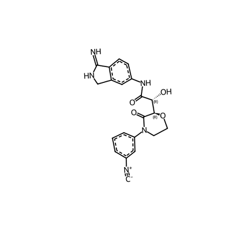 [C-]#[N+]c1cccc(N2CCO[C@H]([C@@H](O)C(=O)Nc3ccc4c(c3)CNC4=N)C2=O)c1